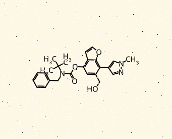 Cn1cc(-c2c(CO)cc(OC(=O)N(Cc3ccccc3)C(C)(C)C)c3ccoc23)cn1